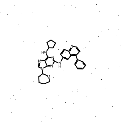 c1ccc(-c2ccnc3ccc(Nc4nc(NC5CCCC5)c5ncn(C6CCCCO6)c5n4)cc23)cc1